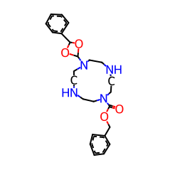 O=C(OCc1ccccc1)N1CCNCCN(C2OC(c3ccccc3)O2)CCNCC1